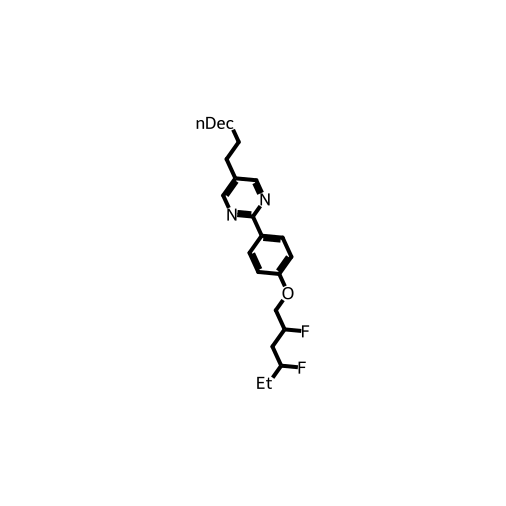 CCCCCCCCCCCCc1cnc(-c2ccc(OCC(F)CC(F)CC)cc2)nc1